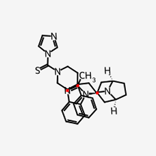 Cc1nc2ccccc2n1[C@H]1C[C@H]2CC[C@@H](C1)N2CCC1(c2ccccc2)CCN(C(=S)n2ccnc2)CC1